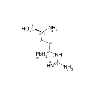 N=C(N)NCCC[C@H](N)C(=O)O.[PbH2]